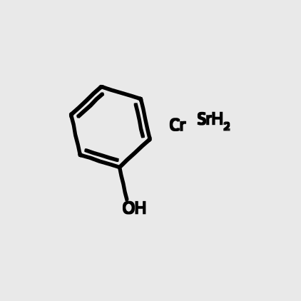 Oc1ccccc1.[Cr].[SrH2]